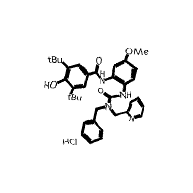 COc1ccc(NC(=O)N(Cc2ccccc2)Cc2ccccn2)c(NC(=O)c2cc(C(C)(C)C)c(O)c(C(C)(C)C)c2)c1.Cl